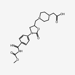 COC(=O)NC(=N)c1ccc(N2CC(CN3CCN(CC(=O)O)CC3)OC2=O)cc1